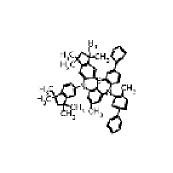 Cc1cc2c3c(c1)N(c1cc(-c4ccccc4)ccc1C)c1ccc(-c4ccccc4)cc1B3c1cc3c(cc1N2c1ccc2c(c1)C(C)(C)CC2(C)C)C(C)(C)CC3(C)C